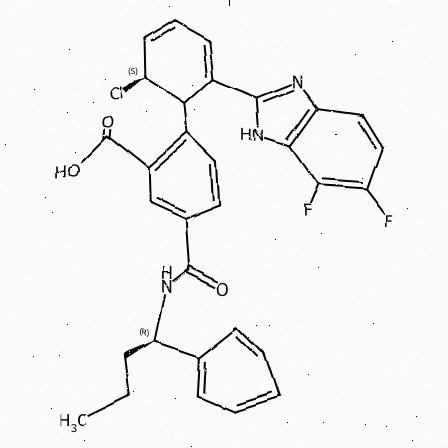 CCC[C@@H](NC(=O)c1ccc(C2C(c3nc4ccc(F)c(F)c4[nH]3)=CC=C[C@@H]2Cl)c(C(=O)O)c1)c1ccccc1